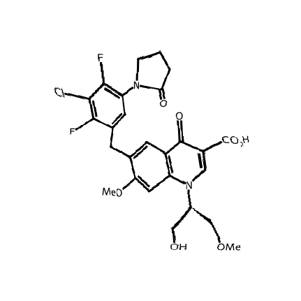 COC[C@@H](CO)n1cc(C(=O)O)c(=O)c2cc(Cc3cc(N4CCCC4=O)c(F)c(Cl)c3F)c(OC)cc21